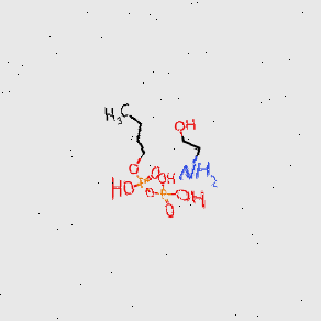 CCCCOP(=O)(O)OP(=O)(O)O.NCCO